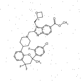 COC(=O)c1ccc2nc(CN3CCC(c4cccc5c4OC(C)(c4ccc(Cl)cc4F)CC5(F)F)CC3)n(C[C@@H]3CCO3)c2c1